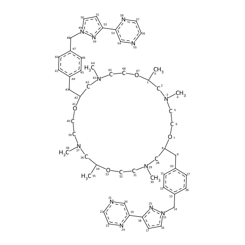 CC1CN(C)CCOC(Cc2ccc(Cn3ccc(-c4cnccn4)n3)cc2)CN(C)CCOC(C)CN(C)CCOC(Cc2ccc(Cn3ccc(-c4cnccn4)n3)cc2)CN(C)CCO1